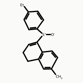 CCc1ccc([S+]([O-])C2=CCCc3cc(C)ccc32)cc1